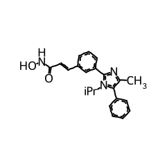 Cc1nc(-c2cccc(C=CC(=O)NO)c2)n(C(C)C)c1-c1ccccc1